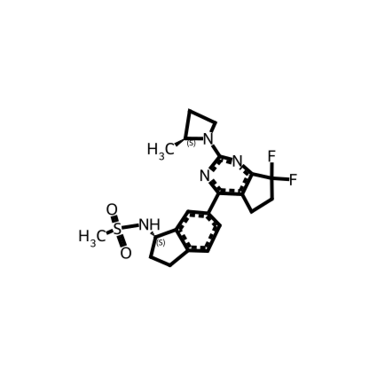 C[C@H]1CCN1c1nc(-c2ccc3c(c2)[C@@H](NS(C)(=O)=O)CC3)c2c(n1)C(F)(F)CC2